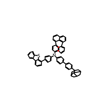 c1ccc(-c2cccc3cccc(-c4ccc(N(c5ccc(-c6ccc(C78CC9CC(CC(C9)C7)C8)cc6)cc5)c5ccc(-c6cccc7c6sc6ccccc67)cc5)cc4)c23)cc1